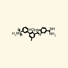 Cc1cc(-c2cccc(S(N)(=O)=O)c2)c(O)c(-c2nc3cc(C(=N)N)ccc3[nH]2)c1